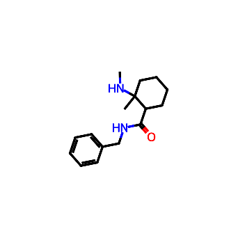 CNC1(C)CCCCC1C(=O)NCc1ccccc1